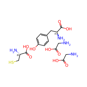 NCC(=O)O.NCC(=O)O.N[C@@H](CS)C(=O)O.N[C@@H](Cc1ccc(O)cc1)C(=O)O